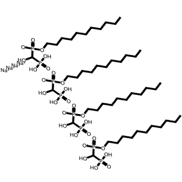 CCCCCCCCCCCOP(=O)([O-])C(O)P(=O)(O)O.CCCCCCCCCCCOP(=O)([O-])C(O)P(=O)(O)O.CCCCCCCCCCCOP(=O)([O-])C(O)P(=O)(O)O.CCCCCCCCCCCOP(=O)([O-])C(O)P(=O)(O)O.[Na+].[Na+].[Na+].[Na+]